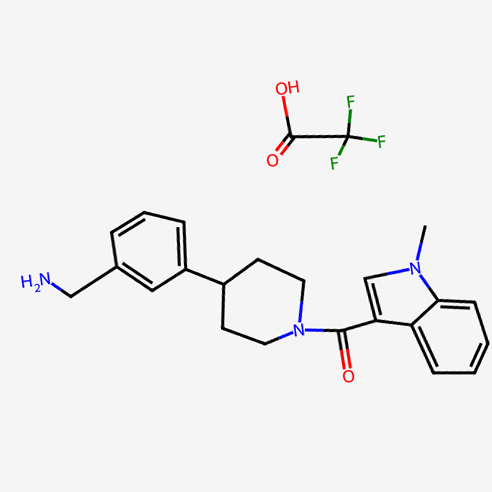 Cn1cc(C(=O)N2CCC(c3cccc(CN)c3)CC2)c2ccccc21.O=C(O)C(F)(F)F